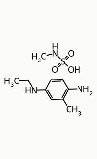 CCNc1ccc(N)c(C)c1.CNS(=O)(=O)O